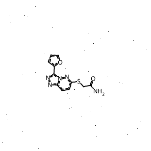 NC(=O)CSc1ccc2nnc(-c3ccco3)n2n1